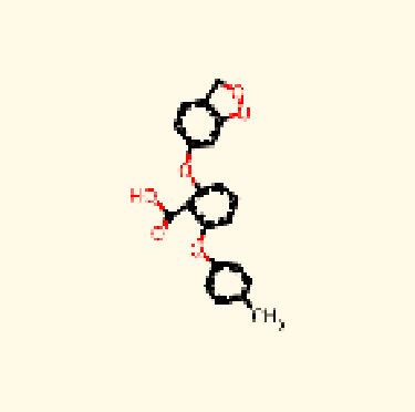 Cc1ccc(Oc2cccc(Oc3ccc4c(c3)OOC4)c2C(=O)O)cc1